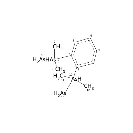 C[AsH](C)([AsH2])c1ccccc1[AsH](C)(C)[AsH2]